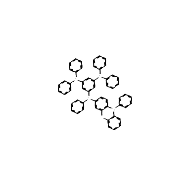 c1ccc(N(c2ccccc2)c2cc(N(c3ccccc3)c3ccccc3)cc(N(c3ccccc3)c3ccc4c(c3)Oc3ccccc3N4c3ccccc3)c2)cc1